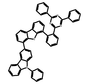 c1ccc(-c2nc(-c3ccccc3)nc(-c3ccccc3-c3cccc4c3sc3c(-c5ccc6c(c5)c5ccccc5n6-c5ccccc5)cccc34)n2)cc1